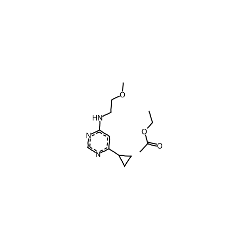 CCOC(C)=O.COCCNc1cc(C2CC2)ncn1